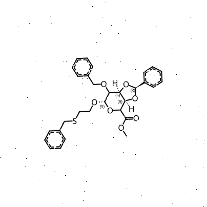 COC(=O)C1O[C@H](OCCSCc2ccccc2)C(OCc2ccccc2)[C@H]2O[C@@H](c3ccccc3)O[C@@H]12